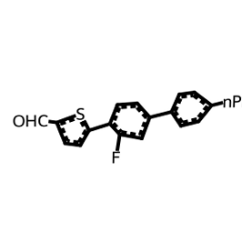 CCCc1ccc(-c2ccc(-c3ccc(C=O)s3)c(F)c2)cc1